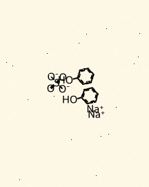 O=S(=O)([O-])[O-].Oc1ccccc1.Oc1ccccc1.[Na+].[Na+]